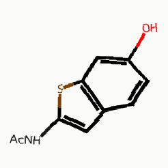 CC(=O)Nc1cc2ccc(O)cc2s1